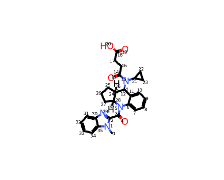 Cn1c(C(=O)N2c3ccccc3[C@H](N(C(=O)CCC(=O)O)C3CC3)[C@H]3CCC[C@H]32)nc2ccccc21